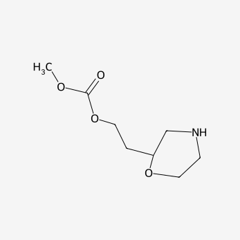 COC(=O)OCCC1CNCCO1